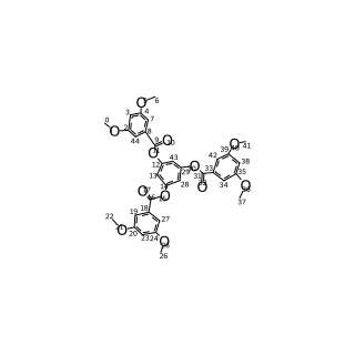 COc1cc(OC)cc(C(=O)Oc2cc(OC(=O)c3cc(OC)cc(OC)c3)cc(OC(=O)c3cc(OC)cc(OC)c3)c2)c1